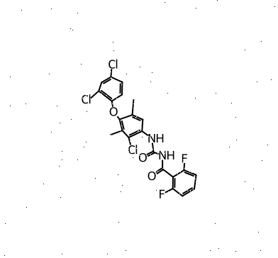 Cc1cc(NC(=O)NC(=O)c2c(F)cccc2F)c(Cl)c(C)c1Oc1ccc(Cl)cc1Cl